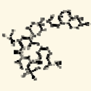 CNC(=O)c1ccccc1Nc1cc(Nc2cc(C)c(N3CCN(Cc4ccc(C5CCC(=O)NC5=O)c(F)c4)CC3)cc2OC(C)C)ncc1C(F)(F)F